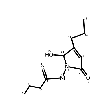 CCCC(=O)NN1C(=O)C=C(CCC)C1O